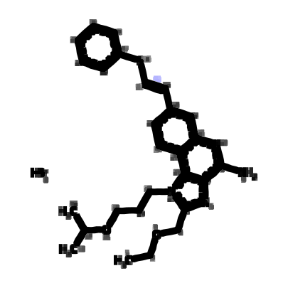 Br.CCOCc1nc2c(N)nc3cc(/C=C/Sc4ccccc4)ccc3c2n1CCCOC(C)C